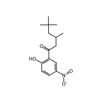 CC(CC(=O)c1cc([N+](=O)[O-])ccc1O)CC(C)(C)C